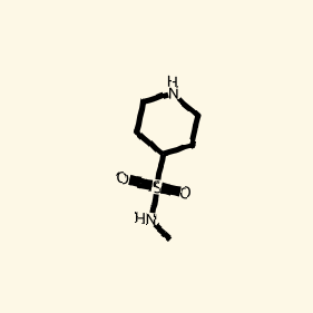 CNS(=O)(=O)C1CCNCC1